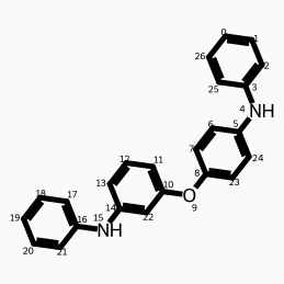 c1ccc(Nc2ccc(Oc3cccc(Nc4ccccc4)c3)cc2)cc1